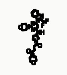 O=C(CCC(=O)N1CC[C@H](Nc2cc(-n3c(C(F)F)nc4ccccc43)nc(N3CCOCC3)n2)C1)N1CCOCC1